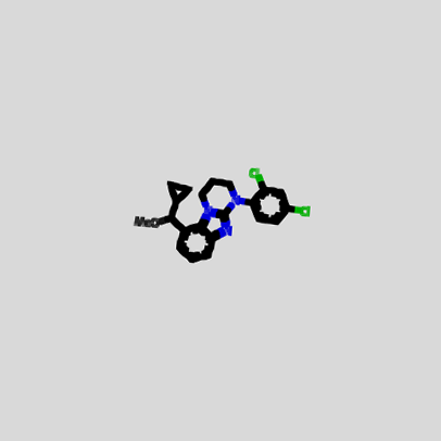 COC(c1cccc2nc3n(c12)CCCN3c1ccc(Cl)cc1Cl)C1CC1